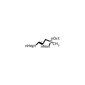 CCCCCCC/C=C/C[Si](C)(CCCCCCCC)CCCCCCCCC